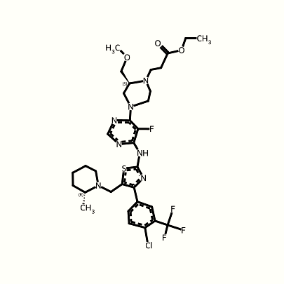 CCOC(=O)CCN1CCN(c2ncnc(Nc3nc(-c4ccc(Cl)c(C(F)(F)F)c4)c(CN4CCCC[C@H]4C)s3)c2F)C[C@H]1COC